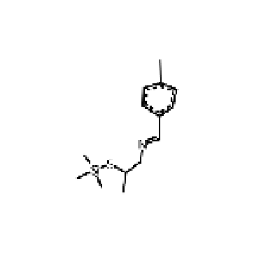 Cc1ccc(C=NCC(C)S[Si](C)(C)C)cc1